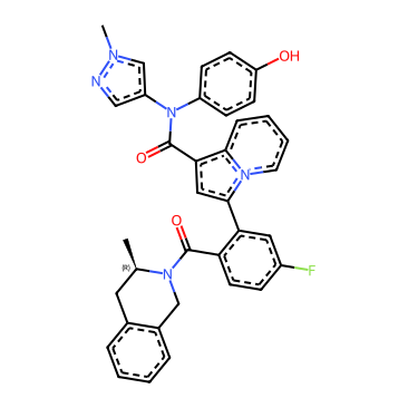 C[C@@H]1Cc2ccccc2CN1C(=O)c1ccc(F)cc1-c1cc(C(=O)N(c2ccc(O)cc2)c2cnn(C)c2)c2ccccn12